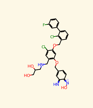 N=C1C=C(COc2cc(OCc3cccc(-c4cccc(F)c4)c3Cl)c(Cl)cc2CNCC(O)CO)C=C/C1=N/O